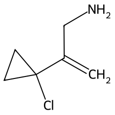 C=C(CN)C1(Cl)CC1